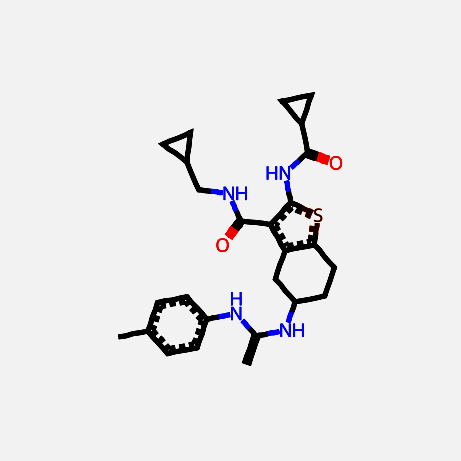 C=C(Nc1ccc(C)cc1)NC1CCc2sc(NC(=O)C3CC3)c(C(=O)NCC3CC3)c2C1